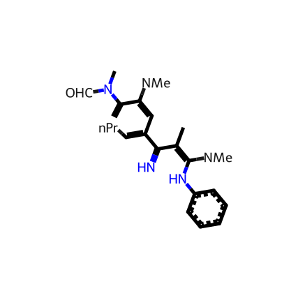 C=C(/C(=C\C(=C/CCC)C(=N)/C(C)=C(/NC)Nc1ccccc1)NC)N(C)C=O